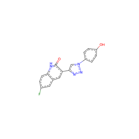 O=c1[nH]c2ccc(F)cc2cc1-c1cn(-c2ccc(O)cc2)nn1